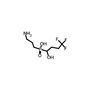 NCCCP(=O)(O)C(O)CCC(F)(F)F